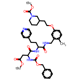 Cc1ccc(OCCC2CCCN(C(=O)OC(C)(C)C)C2)cc1CNC(=O)C(CCc1ccncc1)NC(=O)C(CC(=O)OC(C)(C)C)NC(=O)OCc1ccccc1